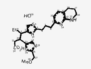 CCC(c1csc(CCCc2ccc3c(n2)NCCC3)n1)C(CC(=O)O)c1cnc(COC)s1.Cl